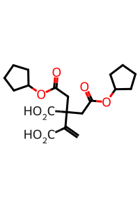 C=C(C(=O)O)C(CC(=O)OC1CCCC1)(CC(=O)OC1CCCC1)C(=O)O